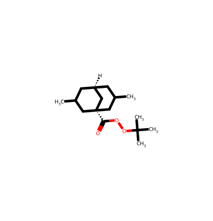 CC1C[C@H]2CC(C)C[C@@](C(=O)OOC(C)(C)C)(C1)C2